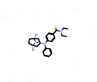 CCN(CC)C(=S)c1ccc(N(c2ccccc2)[C@H]2C[C@H]3CC[C@@H](C2)N3C)cc1